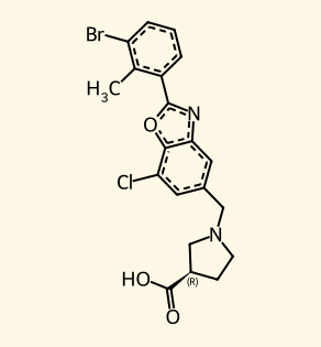 Cc1c(Br)cccc1-c1nc2cc(CN3CC[C@@H](C(=O)O)C3)cc(Cl)c2o1